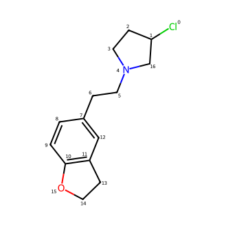 ClC1CCN(CCc2ccc3c(c2)CCO3)C1